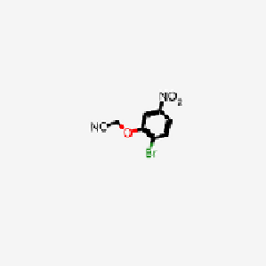 N#CCOc1cc([N+](=O)[O-])ccc1Br